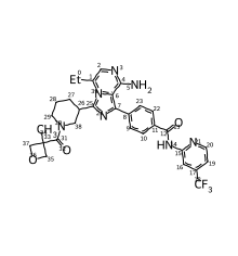 CCc1cnc(N)c2c(-c3ccc(C(=O)Nc4cc(C(F)(F)F)ccn4)cc3)nc(C3CCCN(C(=O)C4(C)COC4)C3)n12